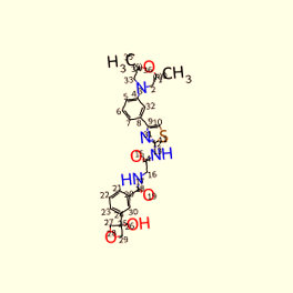 C[C@@H]1CN(c2cccc(-c3csc(NC(=O)CNC(=O)c4cccc(C5(O)COC5)c4)n3)c2)C[C@H](C)O1